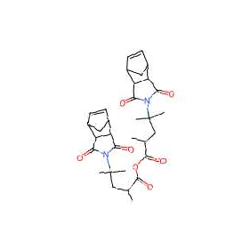 CC(CC(C)(C)N1C(=O)C2C3C=CC(C3)C2C1=O)C(=O)OC(=O)C(C)CC(C)(C)N1C(=O)C2C3C=CC(C3)C2C1=O